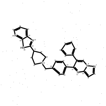 c1ccc(-c2cn3nccc3nc2-c2ccc(CN3CCC(c4nc5cccnc5[nH]4)CC3)cc2)cc1